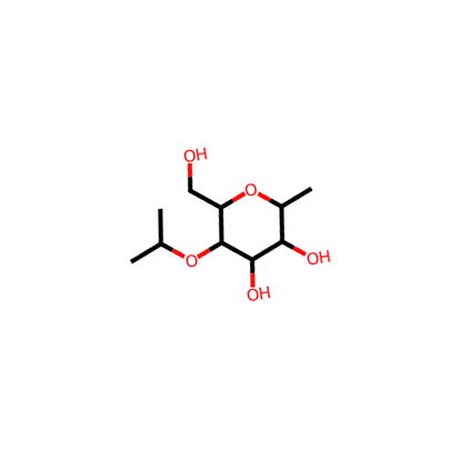 CC(C)OC1C(CO)OC(C)C(O)C1O